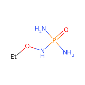 CCONP(N)(N)=O